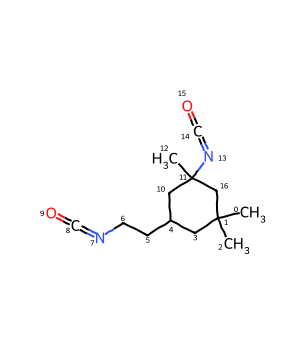 CC1(C)CC(CCN=C=O)CC(C)(N=C=O)C1